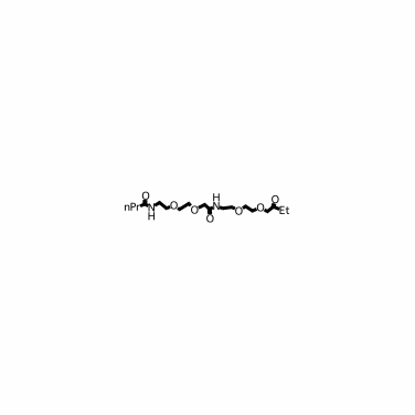 CCCC(=O)NCCOCCOCC(=O)NCCOCCOCC(=O)CC